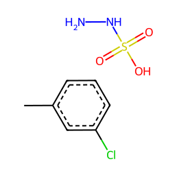 Cc1cccc(Cl)c1.NNS(=O)(=O)O